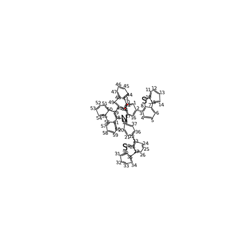 c1cc(-c2cccc3c2sc2ccccc23)cc(N(c2ccc(-c3cccc4c3sc3ccccc34)cc2)c2c(-c3ccc4ccccc4c3)c3ccccc3c3ccccc23)c1